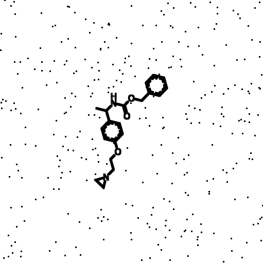 CC(NC(=O)OCc1ccccc1)c1ccc(OCCN2CC2)cc1